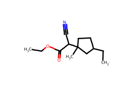 [CH2]CC1C[CH]C(C)(C(C#N)C(=O)OCC)C1